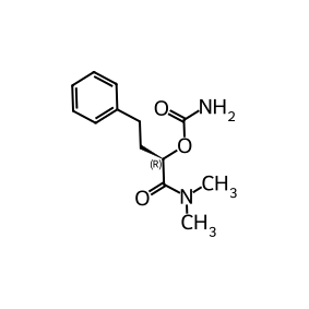 CN(C)C(=O)[C@@H](CCc1ccccc1)OC(N)=O